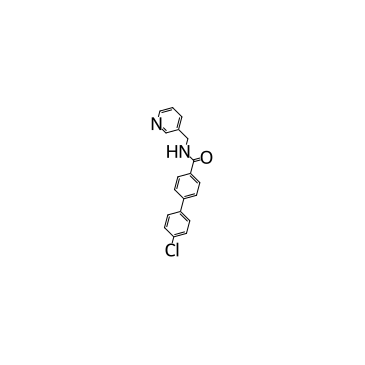 O=C(NCc1cccnc1)c1ccc(-c2ccc(Cl)cc2)cc1